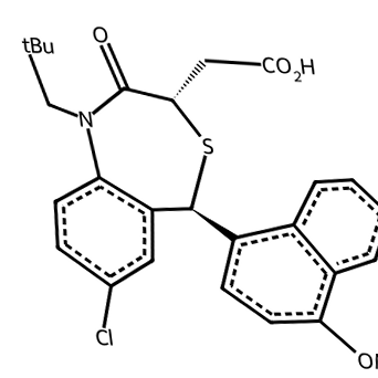 COc1ccc([C@@H]2S[C@@H](CC(=O)O)C(=O)N(CC(C)(C)C)c3ccc(Cl)cc32)c2ccccc12